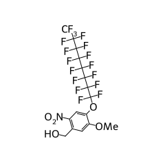 COc1cc(CO)c([N+](=O)[O-])cc1OC(F)(F)C(F)(F)C(F)(F)C(F)(F)C(F)(F)C(F)(F)C(F)(F)C(F)(F)F